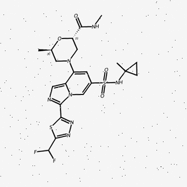 CNC(=O)[C@@H]1CN(c2cc(S(=O)(=O)NC3(C)CC3)cn3c(-c4nnc(C(F)F)s4)ncc23)C[C@@H](C)O1